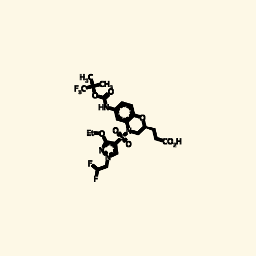 CCOc1nn(CC(F)F)cc1S(=O)(=O)N1C[C@H](CCC(=O)O)Oc2ccc(NC(=O)OC(C)(C)C(F)(F)F)cc21